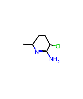 CC1CCC(Cl)C(N)=N1